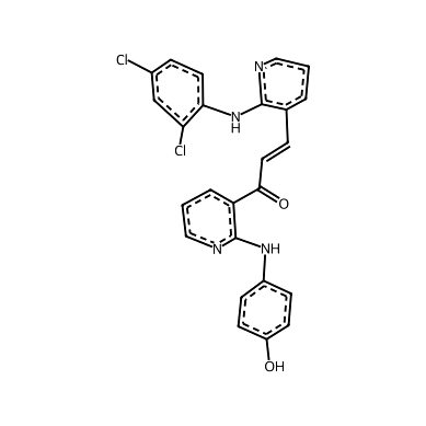 O=C(C=Cc1cccnc1Nc1ccc(Cl)cc1Cl)c1cccnc1Nc1ccc(O)cc1